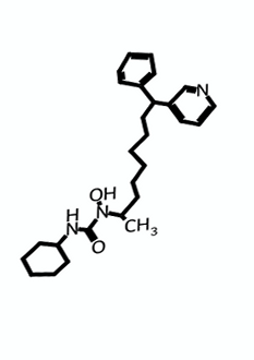 CC(CCCCCCC(c1ccccc1)c1cccnc1)N(O)C(=O)NC1CCCCC1